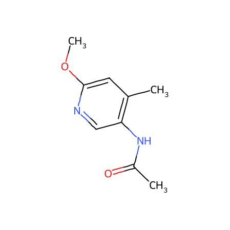 COc1cc(C)c(NC(C)=O)cn1